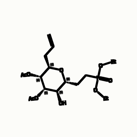 C=CC[C@H]1O[C@H](CCP(=O)(OCC)OCC)[C@@H](O)[C@H](OC(C)=O)[C@@H]1OC(C)=O